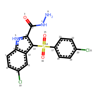 NNC(=O)c1[nH]c2ccc(Cl)cc2c1S(=O)(=O)c1ccc(Cl)cc1